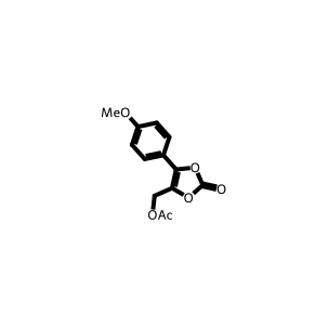 COc1ccc(-c2oc(=O)oc2COC(C)=O)cc1